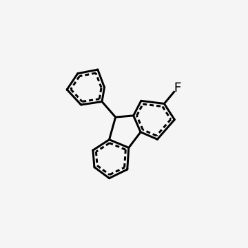 Fc1ccc2c(c1)C(c1ccccc1)c1ccccc1-2